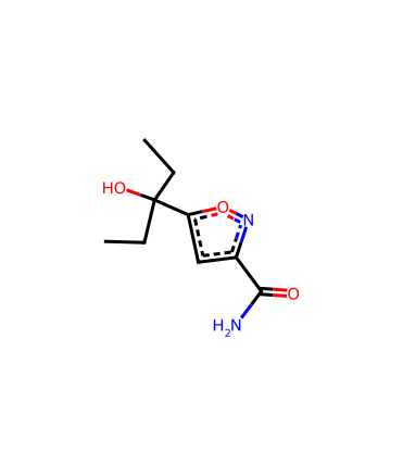 CCC(O)(CC)c1cc(C(N)=O)no1